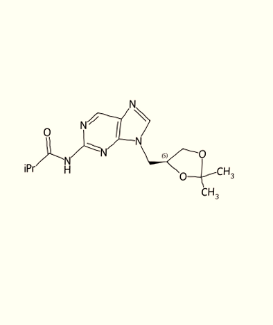 CC(C)C(=O)Nc1ncc2ncn(C[C@H]3COC(C)(C)O3)c2n1